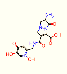 NC1CN2CC(C(=O)NCc3cc(=O)c(O)cn3O)=C(C(=O)O)N2C1=O